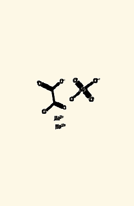 O=C([O-])C(=O)[O-].[Ba+2].[Ba+2].[O]=[Mn](=[O])([O-])[O-]